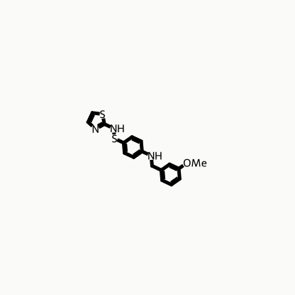 COc1cccc(CNc2ccc(SNc3nccs3)cc2)c1